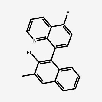 CCc1c(C)cc2ccccc2c1-c1ccc(F)c2cccnc12